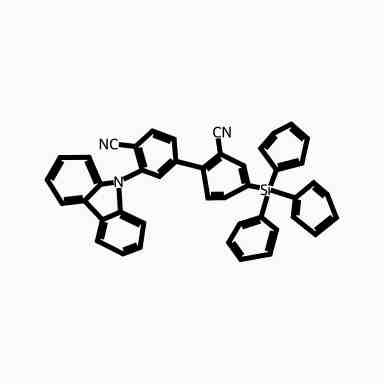 N#Cc1cc([Si](c2ccccc2)(c2ccccc2)c2ccccc2)ccc1-c1ccc(C#N)c(-n2c3ccccc3c3ccccc32)c1